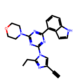 C#Cc1cn(-c2nc(-c3cccc4[nH]ccc34)nc(N3CCOCC3)n2)c(CC)n1